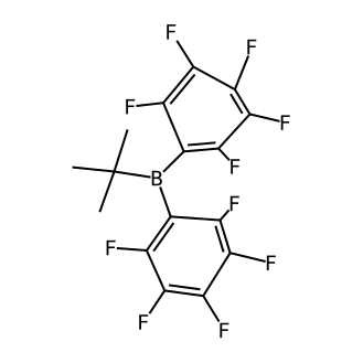 CC(C)(C)B(c1c(F)c(F)c(F)c(F)c1F)c1c(F)c(F)c(F)c(F)c1F